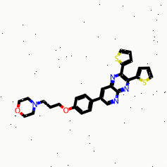 c1csc(-c2nc3cc(-c4ccc(OCCCN5CCOCC5)cc4)cnc3nc2-c2cccs2)c1